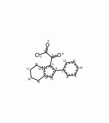 O=C(Cl)C(=O)c1c(-c2ccccc2)cc2n1CCCC2